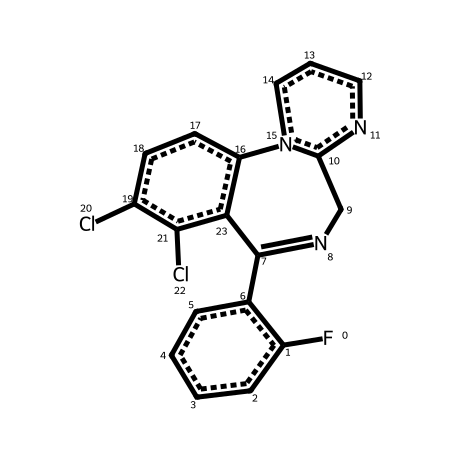 Fc1ccccc1C1=NCc2nccc[n+]2-c2ccc(Cl)c(Cl)c21